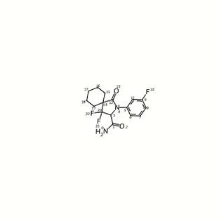 NC(=O)C1N(c2cccc(F)c2)C(=O)C2(C[CH]CCC2)C1(F)F